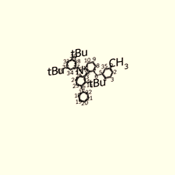 Cc1cccc(Cc2cccc3c2c2c(C(C)(C)C)c(-c4ccccc4)ccc2n3-c2cc(C(C)(C)C)cc(C(C)(C)C)c2)c1